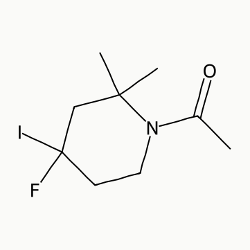 CC(=O)N1CCC(F)(I)CC1(C)C